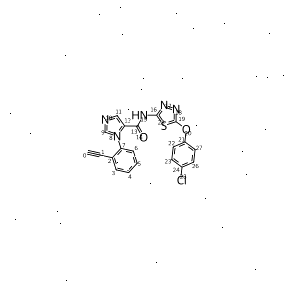 C#Cc1ccccc1-n1cncc1C(=O)Nc1nnc(Oc2ccc(Cl)cc2)s1